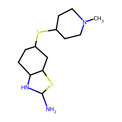 CN1CCC(SC2CCC3NC(N)SC3C2)CC1